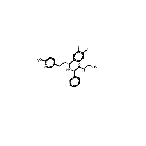 Cc1cc([C@@H](CCc2ccc(C(F)(F)F)nc2)N[C@H](C(=O)NCC(F)(F)F)c2ccccc2)ccc1F